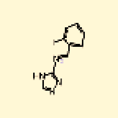 Ic1ccccc1/C=N/c1nnc[nH]1